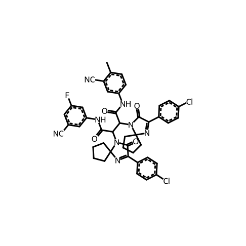 Cc1ccc(NC(=O)C(C(C(=O)Nc2cc(F)cc(C#N)c2)N2C(=O)C(c3ccc(Cl)cc3)=NC23CCCC3)N2C(=O)C(c3ccc(Cl)cc3)=NC23CCCC3)cc1C#N